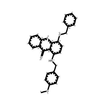 COc1ccc(CNc2ccc(OCc3ccccc3)c3sc4ccccc4c(=O)c23)cc1